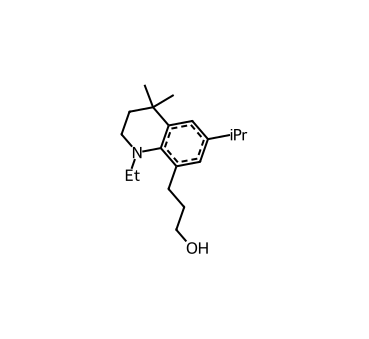 CCN1CCC(C)(C)c2cc(C(C)C)cc(CCCO)c21